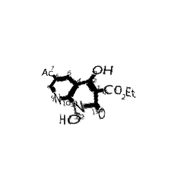 CCOC(=O)c1c(O)c2cc(C(C)=O)cnc2n(O)c1=O